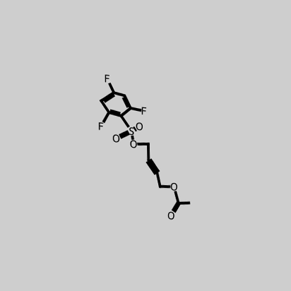 CC(=O)OCC#CCOS(=O)(=O)c1c(F)cc(F)cc1F